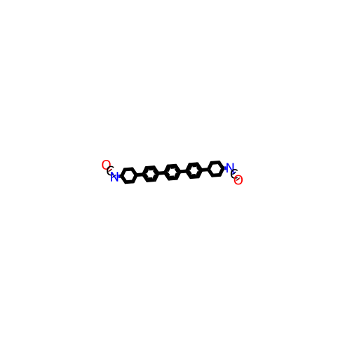 O=C=NC1CCC(c2ccc(-c3ccc(-c4ccc(C5CCC(N=C=O)CC5)cc4)cc3)cc2)CC1